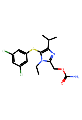 CCn1c(COC(N)=O)nc(C(C)C)c1Sc1cc(Cl)cc(Cl)c1